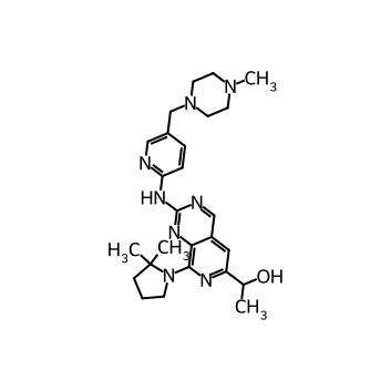 CC(O)c1cc2cnc(Nc3ccc(CN4CCN(C)CC4)cn3)nc2c(N2CCCC2(C)C)n1